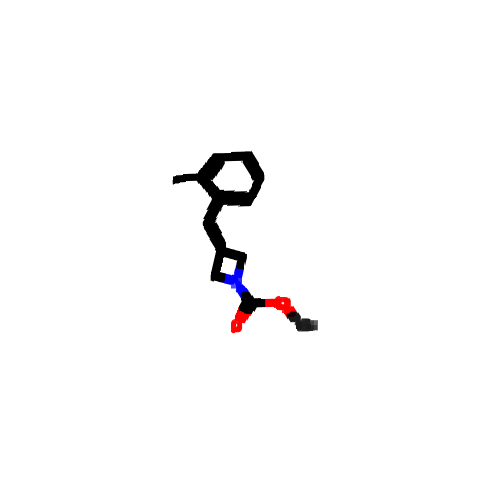 Cc1ccccc1C=C1CN(C(=O)OC(C)(C)C)C1